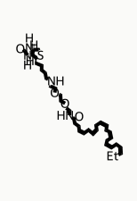 CC/C=C\C/C=C\C/C=C\C/C=C\C/C=C\C/C=C\CCC(=O)NCCOCCOCCNCCCCC[C@@H]1SC[C@@H]2NC(=O)N[C@@H]21